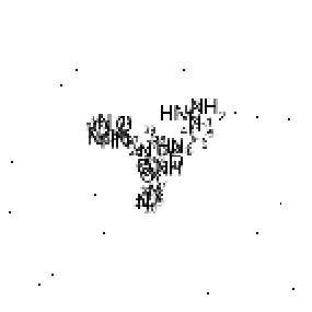 N=C(N)N1CCC[C@@H](CNC(=O)C[C@H](NC(=O)Cn2ccnc2)C(=O)N(CCNC(=O)c2cnccn2)C2CC2)C1